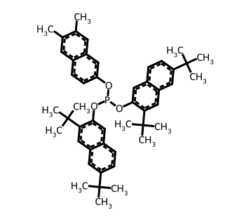 Cc1cc2ccc(OP(Oc3cc4ccc(C(C)(C)C)cc4cc3C(C)(C)C)Oc3cc4ccc(C(C)(C)C)cc4cc3C(C)(C)C)cc2cc1C